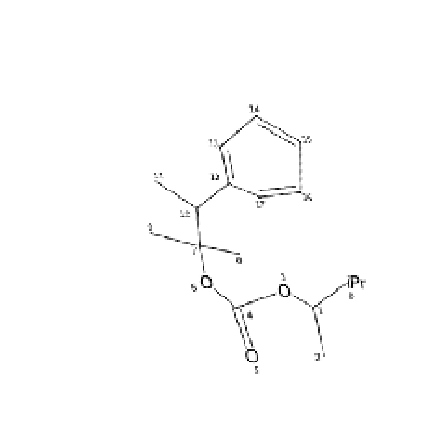 CC(C)C(C)OC(=O)OC(C)(C)C(C)c1ccccc1